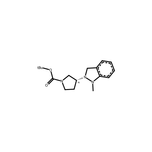 CN1c2ccccc2CN1[C@@H]1CCN(C(=O)OC(C)(C)C)C1